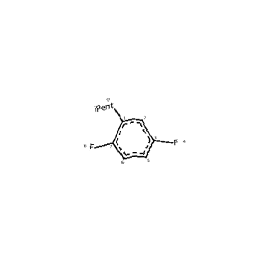 CCCC(C)c1cc(F)ccc1F